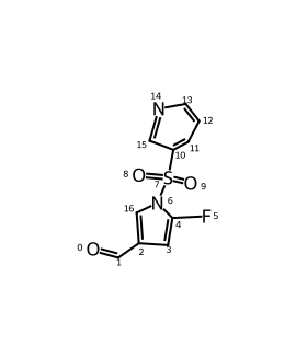 O=Cc1cc(F)n(S(=O)(=O)c2cccnc2)c1